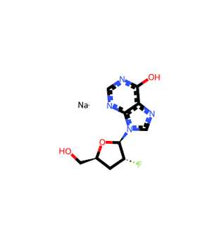 OC[C@@H]1C[C@@H](F)[C@H](n2cnc3c(O)ncnc32)O1.[Na]